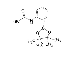 CC(C)(C)C(=O)Nc1ccccc1B1OC(C)(C)C(C)(C)O1